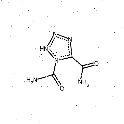 NC(=O)c1nn[nH][n+]1C(N)=O